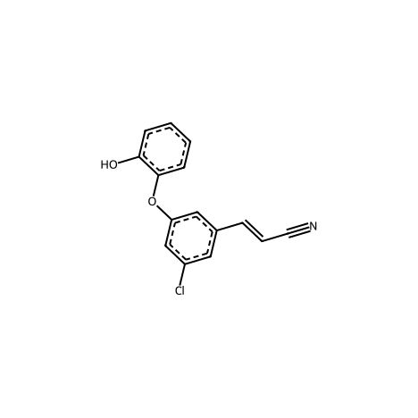 N#C/C=C/c1cc(Cl)cc(Oc2ccccc2O)c1